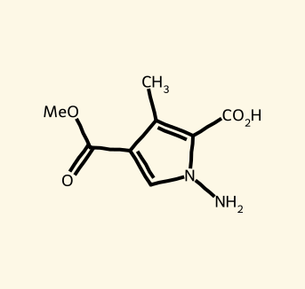 COC(=O)c1cn(N)c(C(=O)O)c1C